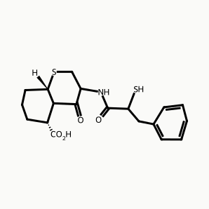 O=C(NC1CS[C@H]2CCC[C@@H](C(=O)O)C2C1=O)C(S)Cc1ccccc1